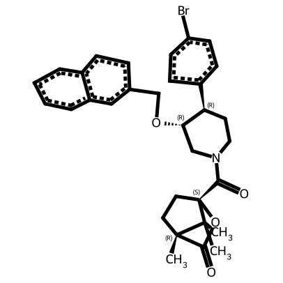 CC1(C)[C@@]2(C)CC[C@]1(C(=O)N1CC[C@H](c3ccc(Br)cc3)[C@@H](OCc3ccc4ccccc4c3)C1)OC2=O